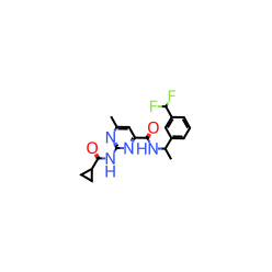 Cc1cc(C(=O)NC(C)c2cccc(C(F)F)c2)nc(NC(=O)C2CC2)n1